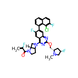 C=C(F)C(=O)N1CCC2[C@H]1CN2c1nc(OC[C@@H]2C[C@@H](F)CN2C)nc2cc(-c3cccc4ccc(F)c(Cl)c34)c(F)cc12